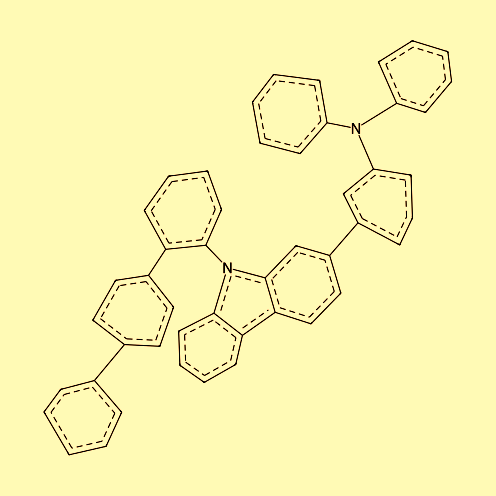 c1ccc(-c2ccc(-c3ccccc3-n3c4ccccc4c4ccc(-c5cccc(N(c6ccccc6)c6ccccc6)c5)cc43)cc2)cc1